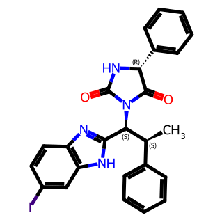 C[C@@H](c1ccccc1)[C@@H](c1nc2ccc(I)cc2[nH]1)N1C(=O)N[C@H](c2ccccc2)C1=O